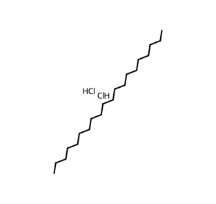 CCCCCCCCCCCCCCCCCCCC.Cl.Cl